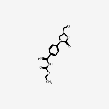 CCOC(=O)NC(=N)c1ccc(N2C[C@@H](CCl)OC2=O)cc1